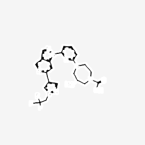 O=C(O)N1CCN(c2cccc(-n3ncc4cnc(-c5cnn(CC(F)(F)F)c5)cc43)n2)C[C@@H](O)C1